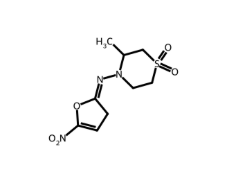 CC1CS(=O)(=O)CCN1N=C1CC=C([N+](=O)[O-])O1